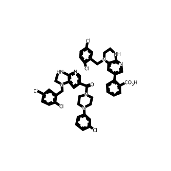 O=C(O)c1ccccc1-c1cnc2c(c1)N(Cc1cc(Cl)ccc1Cl)CCN2.O=C(c1cnc2c(c1)N(Cc1cc(Cl)ccc1Cl)CCN2)N1CCN(c2cccc(Cl)c2)CC1